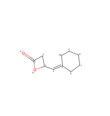 O=C1CC(C=C2CCCCC2)O1